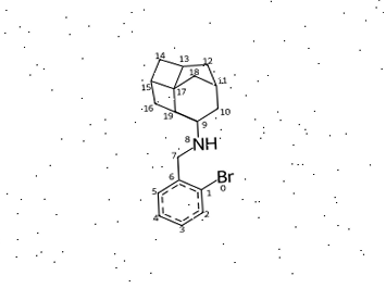 Brc1ccccc1CNC12CC3CC4CC(C1)C4(C3)C2